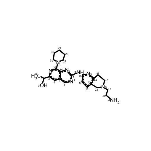 CC(O)c1cc2cnc(Nc3ccc4c(n3)CCN(CCN)C4)nc2c(N2CCCCC2)n1